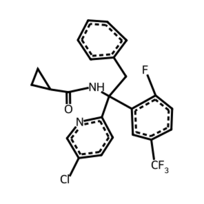 O=C(NC(Cc1ccccc1)(c1ccc(Cl)cn1)c1cc(C(F)(F)F)ccc1F)C1CC1